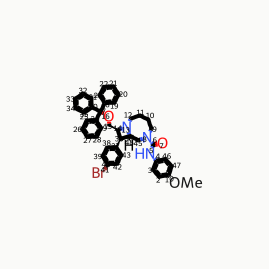 COc1ccc(NC(=O)N2CCCCN3[C@H](COC(c4ccccc4)(c4ccccc4)c4ccccc4)[C@H](c4ccc(Br)cc4)[C@@H]3C2)cc1